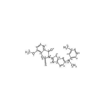 COc1ccnc2c(=O)n(-c3nc4ccc(N(C)c5cncc(C)c5)cc4s3)c(=S)oc12